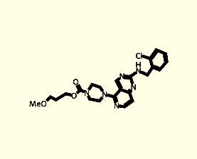 COCCCOC(=O)N1CCN(c2nccc3nc(NCc4ccccc4Cl)ncc23)CC1